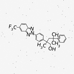 CC(C)(CC(C)(CO)c1ccc(-n2nc3ccc(C(F)(F)F)cc3n2)cc1)c1ccccc1